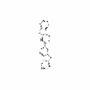 c1ccc2c(c1)sc1n[n+](-c3ccc4c(c3)sc3ncncc34)ccc12